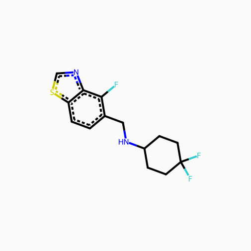 Fc1c(CNC2CCC(F)(F)CC2)ccc2scnc12